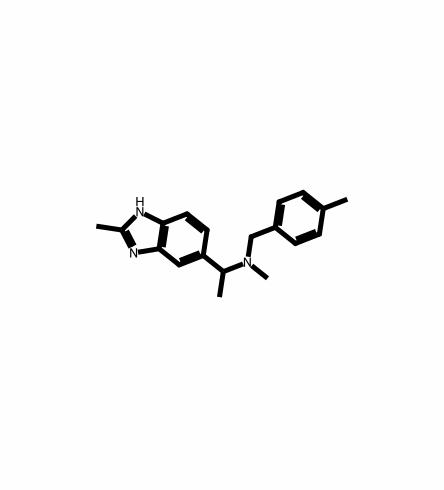 Cc1ccc(CN(C)C(C)c2ccc3[nH]c(C)nc3c2)cc1